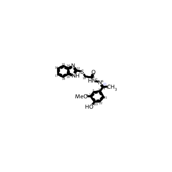 COc1cc(/C(C)=N\NC(=O)CSc2nc3ccccc3[nH]2)ccc1O